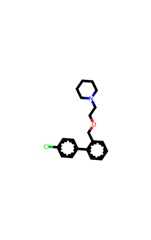 Clc1ccc(-c2ccccc2COCCN2CCCCC2)cc1